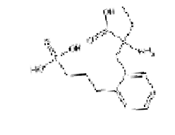 CCC(N)(Cc1ccccc1CCCP(=O)(O)O)C(=O)O